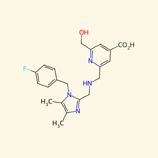 Cc1nc(CNCc2cc(C(=O)O)cc(CO)n2)n(Cc2ccc(F)cc2)c1C